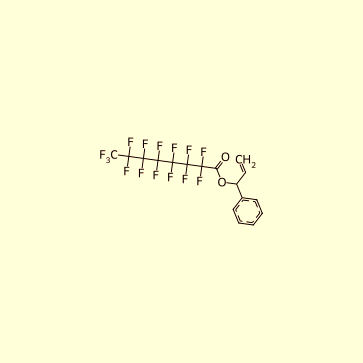 C=CC(OC(=O)C(F)(F)C(F)(F)C(F)(F)C(F)(F)C(F)(F)C(F)(F)C(F)(F)F)c1ccccc1